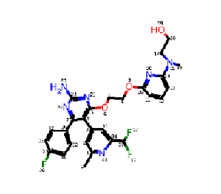 Cc1cc(-c2c(OCCOc3cccc(N(C)CCO)n3)nc(N)nc2-c2ccc(F)cc2)cc(C(F)F)n1